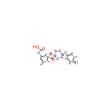 Cc1cc(CC(=O)O)cc(S(=O)(=O)N2CCN(Cc3ccc(Cl)cc3)CC2)c1